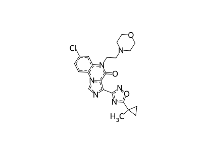 CC1(c2nc(-c3ncn4c3c(=O)n(CCN3CCOCC3)c3cc(Cl)ccc34)no2)CC1